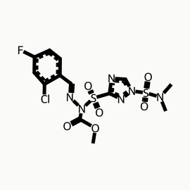 COC(=O)N(/N=C/c1ccc(F)cc1Cl)S(=O)(=O)c1ncn(S(=O)(=O)N(C)C)n1